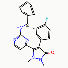 C[C@H](Nc1nccc(-c2c(-c3ccc(F)cc3)c(=O)n(C)n2C)n1)c1ccccc1